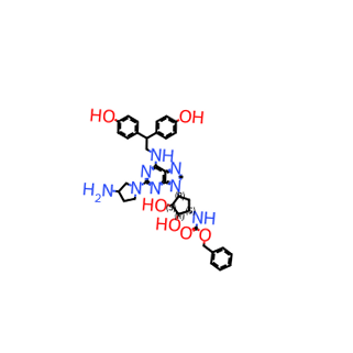 NC1CCN(c2nc(NCC(c3ccc(O)cc3)c3ccc(O)cc3)c3ncn([C@@H]4C[C@H](NC(=O)OCc5ccccc5)[C@@H](O)[C@H]4O)c3n2)C1